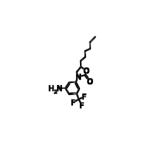 CCCCCCC1CN(c2cc(N)cc(C(F)(F)F)c2)C(=O)O1